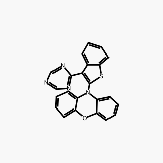 c1ccc2c(c1)Oc1ccccc1N2c1sc2ccccc2c1-c1ncncn1